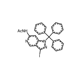 CC(=O)Nc1cc2c(cn1)c(I)nn2C(c1ccccc1)(c1ccccc1)c1ccccc1